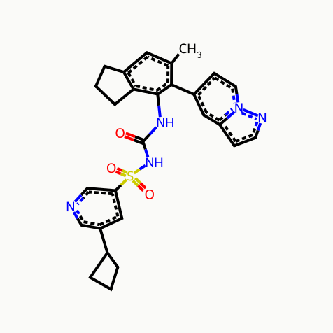 Cc1cc2c(c(NC(=O)NS(=O)(=O)c3cncc(C4CCC4)c3)c1-c1ccn3nccc3c1)CCC2